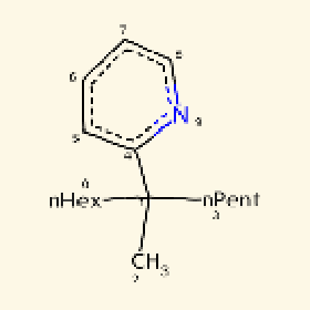 CCCCCCC(C)(CCCCC)c1ccccn1